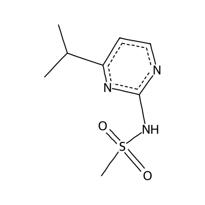 CC(C)c1ccnc(NS(C)(=O)=O)n1